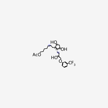 CC(=O)OCCCC/C=C\C[C@@H]1[C@@H](/C=C/[C@@H](O)COc2cccc(C(F)(F)F)c2)[C@H](O)C[C@@H]1O